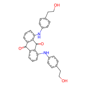 O=C1c2cccc(Nc3ccc(CCO)cc3)c2C(=O)c2c(Nc3ccc(CCO)cc3)cccc21